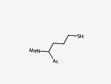 CNC(CCCS)C(C)=O